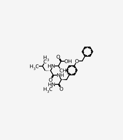 CNC(=O)[C@H](Cc1ccc(OCc2ccccc2)cc1)NC(=O)[C@H](CC(C)C)NC(C)C(=O)O